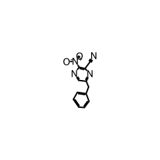 N#Cc1nc(Cc2ccccc2)cnc1[N+](=O)[O-]